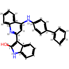 Oc1[nH]c2ccccc2c1-c1cc(Nc2ccc(-c3ccccc3)cc2)c2ccccc2n1